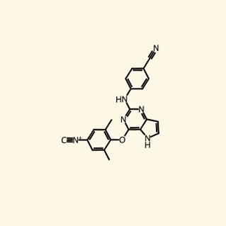 [C-]#[N+]c1cc(C)c(Oc2nc(Nc3ccc(C#N)cc3)nc3cc[nH]c23)c(C)c1